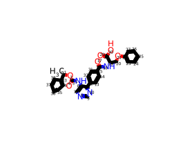 CC(OC(=O)Nc1cncnc1-c1ccc(C(=O)NC(COc2ccccc2)C(=O)O)cc1)c1ccccc1